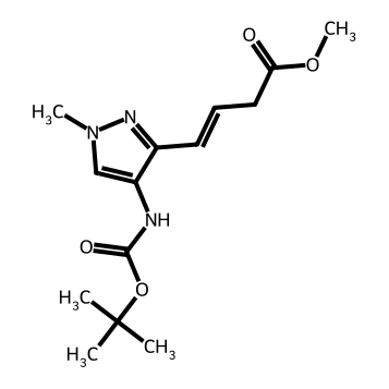 COC(=O)CC=Cc1nn(C)cc1NC(=O)OC(C)(C)C